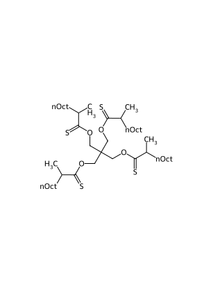 CCCCCCCCC(C)C(=S)OCC(COC(=S)C(C)CCCCCCCC)(COC(=S)C(C)CCCCCCCC)COC(=S)C(C)CCCCCCCC